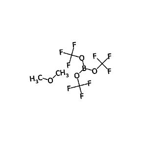 COC.FC(F)(F)OB(OC(F)(F)F)OC(F)(F)F